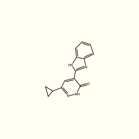 O=c1[nH]nc(C2CC2)cc1-c1nc2ccccc2[nH]1